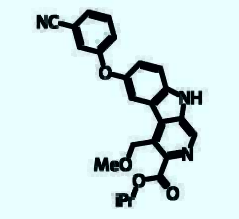 COCc1c(C(=O)OC(C)C)ncc2[nH]c3ccc(Oc4cccc(C#N)c4)cc3c12